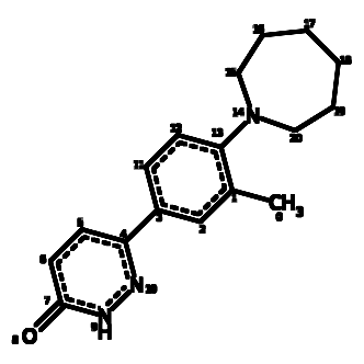 Cc1cc(-c2ccc(=O)[nH]n2)ccc1N1CCCCCC1